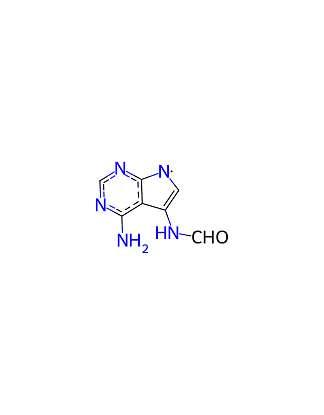 Nc1ncnc2c1C(NC=O)=C[N]2